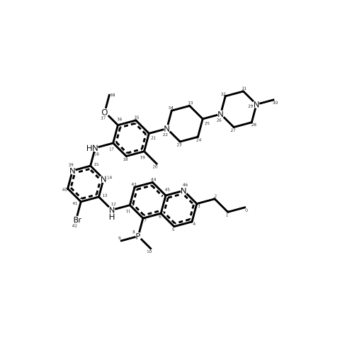 CCCc1ccc2c(P(C)C)c(Nc3nc(Nc4cc(C)c(N5CCC(N6CCN(C)CC6)CC5)cc4OC)ncc3Br)ccc2n1